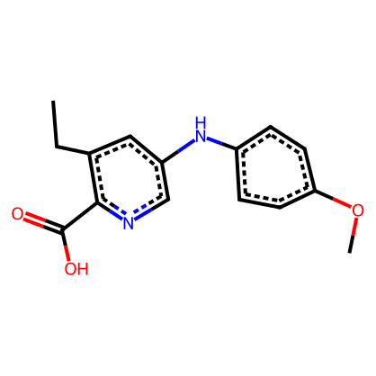 CCc1cc(Nc2ccc(OC)cc2)cnc1C(=O)O